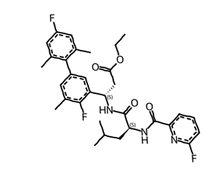 CCOC(=O)C[C@H](NC(=O)[C@H](CC(C)C)NC(=O)c1cccc(F)n1)c1cc(-c2c(C)cc(F)cc2C)cc(C)c1F